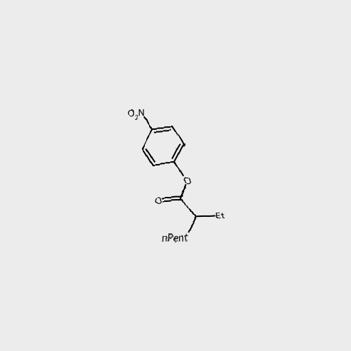 CCCCCC(CC)C(=O)Oc1ccc([N+](=O)[O-])cc1